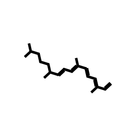 C=CC(C)=CC=CC(C)=CC=CC(C)CCCC(C)C